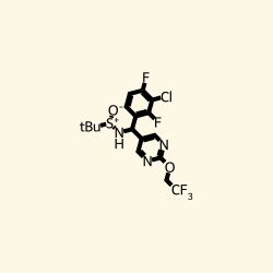 CC(C)(C)[S+]([O-])NC(c1cnc(OCC(F)(F)F)nc1)c1ccc(F)c(Cl)c1F